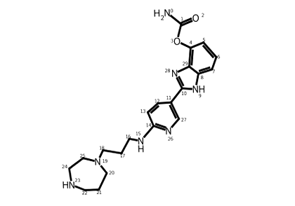 NC(=O)Oc1cccc2[nH]c(-c3ccc(NCCCN4CCCNCC4)nc3)nc12